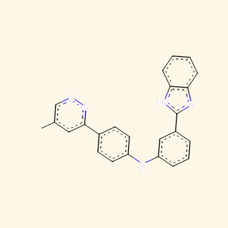 FC(F)(F)c1cnnc(-c2ccc(Nc3cccc(-c4nc5ccccc5[nH]4)c3)cc2)c1